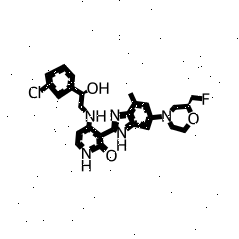 Cc1cc(N2CCO[C@H](CF)C2)cc2[nH]c(-c3c(NC[C@H](O)c4cccc(Cl)c4)cc[nH]c3=O)nc12